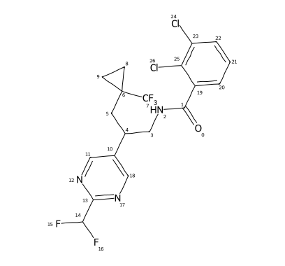 O=C(NCC(CC1(C(F)(F)F)CC1)c1cnc(C(F)F)nc1)c1cccc(Cl)c1Cl